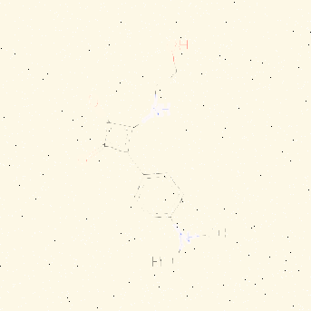 CN(C)c1ccc(-c2c(NCCO)c(=O)c2=O)cc1